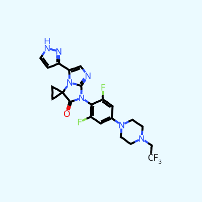 O=C1N(c2c(F)cc(N3CCN(CC(F)(F)F)CC3)cc2F)c2ncc(-c3cc[nH]n3)n2C12CC2